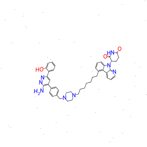 Nc1nnc(-c2ccccc2O)cc1-c1ccc(CN2CCN(CCCCCCCc3cccc4c3c3cccnc3n4C3CCC(=O)NC3=O)CC2)cc1